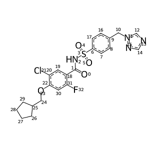 O=C(NS(=O)(=O)c1ccc(Cn2cncn2)cc1)c1cc(Cl)c(OCC2CCCC2)cc1F